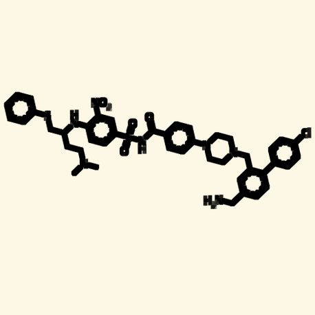 CN(C)CCC(CSc1ccccc1)Nc1ccc(S(=O)(=O)NC(=O)c2ccc(N3CCN(Cc4cc(CN)ccc4-c4ccc(Cl)cc4)CC3)cc2)cc1[N+](=O)[O-]